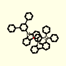 c1ccc(-c2cc(-c3ccccc3)cc(-n3c4ccccc4c4c(-n5c6ccccc6c6cccc([Si](c7ccccc7)(c7ccccc7)c7ccccc7)c65)cccc43)c2)cc1